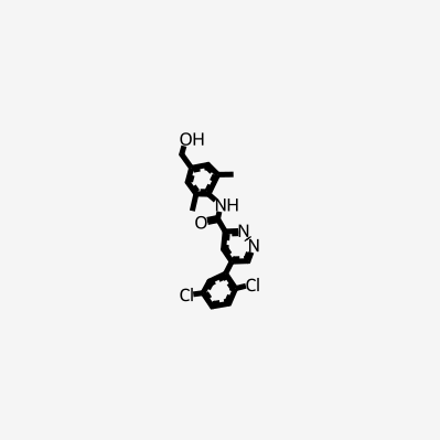 Cc1cc(CO)cc(C)c1NC(=O)c1cc(-c2cc(Cl)ccc2Cl)cnn1